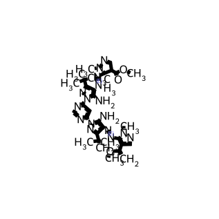 C=C(OC)c1cnn(C)c1/N=N/c1c(C(C)(C)C)nn(-c2cc(-n3nc(C(C)(C)C)c(/N=N/C4(C)C(C(=O)OC)C=NN4C)c3N)ncn2)c1N